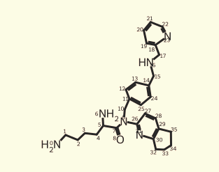 NCCCCC(N)C(=O)N(Cc1ccc(CNCc2ccccn2)cc1)c1ccc2c(n1)CCCC2